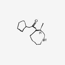 C[C@H]1CNCCCCC1C(=O)C1CCCC1